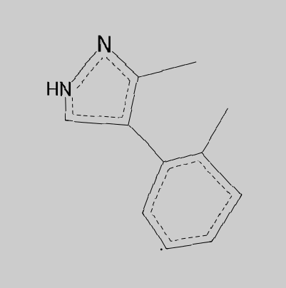 Cc1cc[c]cc1-c1c[nH]nc1C